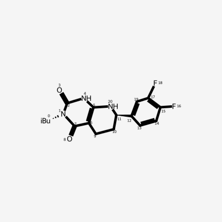 CC[C@@H](C)n1c(=O)[nH]c2c(c1=O)CC[C@H](c1ccc(F)c(F)c1)N2